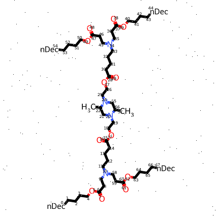 CCCCCCCCCCCCCCOC(=O)CCN(CCCCC(=O)OCCN1CC(C)N(CCOC(=O)CCCCN(CCC(=O)OCCCCCCCCCCCCCC)CCC(=O)OCCCCCCCCCCCCCC)CC1C)CCC(=O)OCCCCCCCCCCCCCC